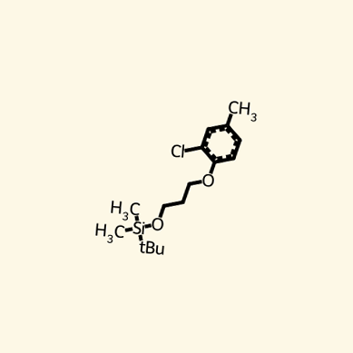 Cc1ccc(OCCCO[Si](C)(C)C(C)(C)C)c(Cl)c1